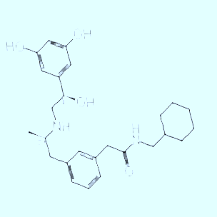 C[C@H](Cc1cccc(CC(=O)NCC2CCCCC2)c1)NC[C@H](O)c1cc(O)cc(O)c1